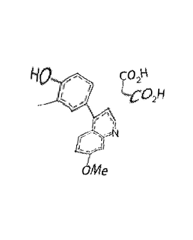 COc1ccc2c(-c3ccc(O)c(C)c3)ccnc2c1.O=C(O)CC(=O)O